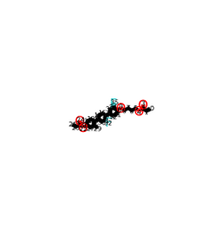 C=CC(=O)OCCCCOc1ccc(-c2ccc(-c3ccc(OC(=O)C=C)cc3C)cc2F)cc1F